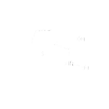 CCNC(O)C1=CCC(C)S1